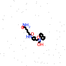 NC(=O)CCCCCCC(=O)Nc1ccc(CC(=O)N(CCO)C2C=CC=C3C=CC=CC32)cc1